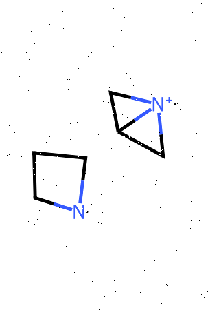 C1C2C[N+]12.C1C[N]C1